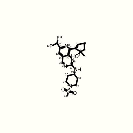 CC1(O)CCC=C1c1nc(C(F)F)cc2cnc(NC3CCN(S(C)(=O)=O)CC3)nc12